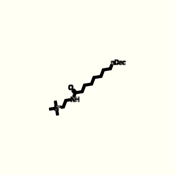 CCCCCCCCCCCCCCCCCC(=O)NCC[N+](C)(C)C